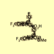 COC(=O)c1ccc(S(=O)(=O)Cc2ccn(-c3ccc(C(F)(F)F)cc3)n2)c(C#Cc2ccc(F)cc2)c1.O=C(O)c1ccc(S(=O)(=O)Cc2ccn(-c3ccc(C(F)(F)F)cc3)n2)c(C#Cc2ccc(F)cc2)c1